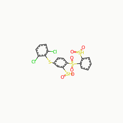 O=[SH](=O)c1ccccc1S(=O)(=O)c1ccc(Sc2c(Cl)cccc2Cl)cc1[SH](=O)=O